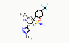 C[C@H]1C[C@](c2ccc(C(F)(F)F)cc2)(S(N)(=O)=O)C[C@@H](c2cn(C)nn2)N1